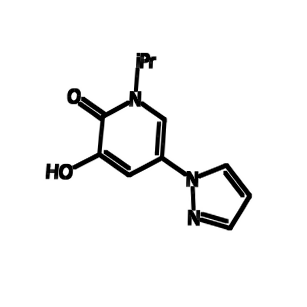 CC(C)n1cc(-n2cccn2)cc(O)c1=O